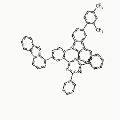 FC(F)(F)c1ccc(-c2ccc3c(c2)c2ccccc2n3-c2ccc(-c3cccc4c3sc3ccccc34)cc2-c2nc(-c3ccccc3)nc(-c3ccccc3)n2)c(C(F)(F)F)c1